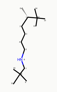 C[C@@H](CCCCNCC(C)(C)C)C(C)(C)C